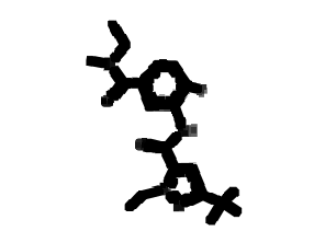 CCN(C)C(=O)c1ccc(F)c(NC(=O)c2cc(C(C)(C)C)nn2CC)c1